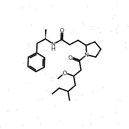 CCC(C)CC(CC(=O)N1CCCC1CCC(=O)N[C@H](C)Cc1ccccc1)OC